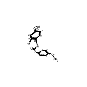 CCCOc1ccc(OC(=O)Oc2ccc(C#N)cc2F)nc1